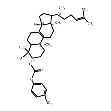 CC(C)=CCC[C@@H](C)C1CC[C@H]2C3=C(CC[C@]12C)[C@@]1(C)CC[C@H](OC(=O)Oc2ccc([N+](=O)[O-])cc2)C(C)(C)C1CC3